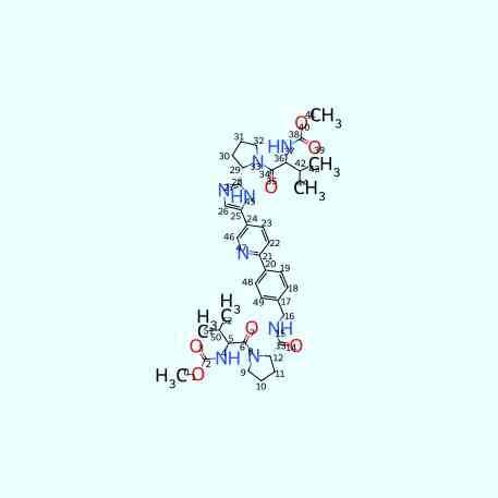 COC(=O)N[C@H](C(=O)N1CCC[C@H]1C(=O)NCc1ccc(-c2ccc(-c3cnc([C@@H]4CCCN4C(=O)[C@@H](NC(=O)OC)C(C)C)[nH]3)cn2)cc1)C(C)C